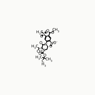 COC(=O)c1cc([N+](=O)[O-])c(N2CCN(C(=O)OC(C)(C)C)[C@H](C(C)C)C2=O)cc1S(C)(=O)=O